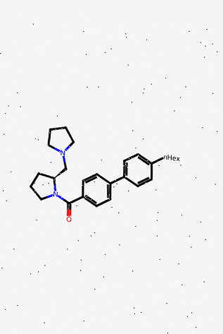 CCCCCCc1ccc(-c2ccc(C(=O)N3CCC[C@H]3CN3CCCC3)cc2)cc1